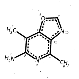 Cc1nc(N)c(C)c2ocnc12